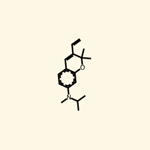 C=CC1=Cc2ccc(N(C)C(C)C)cc2OC1(C)C